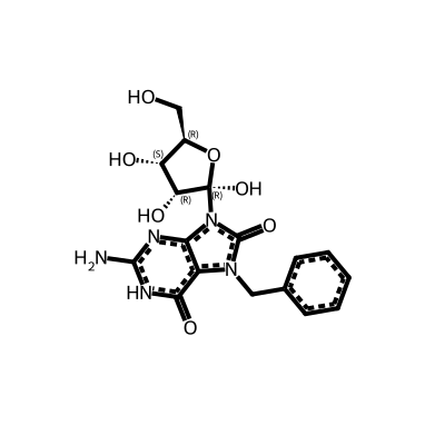 Nc1nc2c(c(=O)[nH]1)n(Cc1ccccc1)c(=O)n2[C@]1(O)O[C@H](CO)[C@@H](O)[C@H]1O